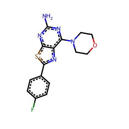 Nc1nc(N2CCOCC2)c2nc(-c3ccc(F)cc3)sc2n1